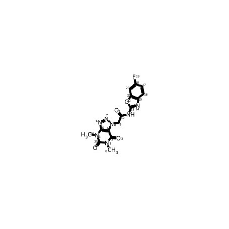 Cn1c(=O)c2c(nnn2CC(=O)Nc2nc3ccc(F)cc3o2)n(C)c1=O